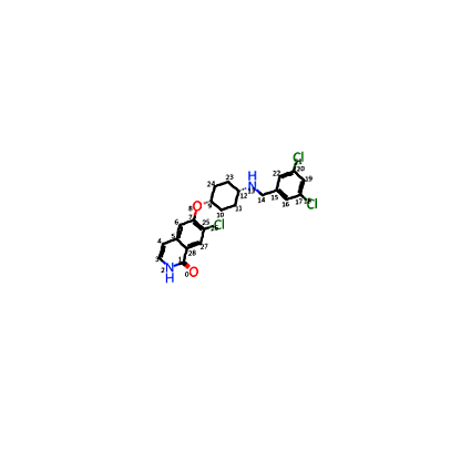 O=c1[nH]ccc2cc(O[C@H]3CC[C@@H](NCc4cc(Cl)cc(Cl)c4)CC3)c(Cl)cc12